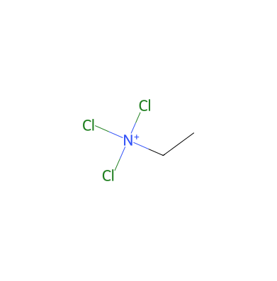 CC[N+](Cl)(Cl)Cl